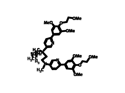 COCCOc1c(OC)cc(-c2ccc(N(C)CCN(C)c3ccc(-c4cc(OC)c(OCCOC)c(OC)c4)nc3)cn2)cc1OC.CS(=O)(=O)O.CS(=O)(=O)O